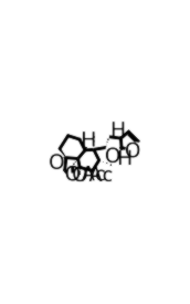 CC(=O)OC[C@@]12[C@@H](OC(C)=O)C[C@@H](C)[C@](C)([C@@H]3C[C@H]4C=CO[C@H]4O3)[C@H]1CCC[C@]21CO1